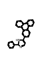 C1=NC(c2ccccc2)NC(c2ccc3c4ccccc4c4ccccc4c3c2)=C1